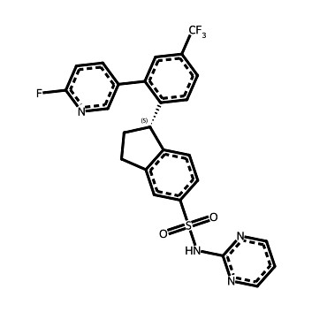 O=S(=O)(Nc1ncccn1)c1ccc2c(c1)CC[C@@H]2c1ccc(C(F)(F)F)cc1-c1ccc(F)nc1